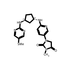 CSc1cnc(N[C@H]2CC[C@H](Nc3ccc(N4CC(=O)N(C)C4=O)cn3)C2)nc1